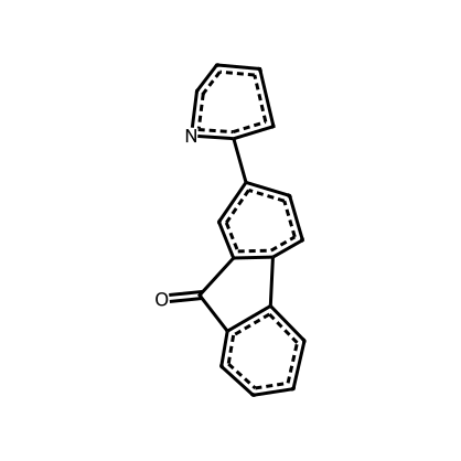 O=C1c2ccccc2-c2ccc(-c3ccccn3)cc21